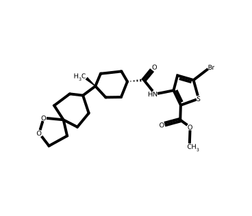 COC(=O)c1sc(Br)cc1NC(=O)[C@H]1CC[C@@](C)(C2CCC3(CCOO3)CC2)CC1